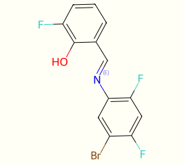 Oc1c(F)cccc1/C=N/c1cc(Br)c(F)cc1F